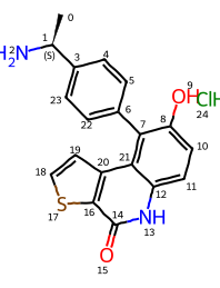 C[C@H](N)c1ccc(-c2c(O)ccc3[nH]c(=O)c4sccc4c23)cc1.Cl